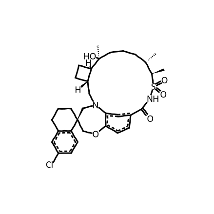 C[C@@H]1[C@@H](C)CCC[C@](C)(O)[C@@H]2CC[C@H]2CN2C[C@@]3(CCCc4cc(Cl)ccc43)COc3ccc(cc32)C(=O)NS1(=O)=O